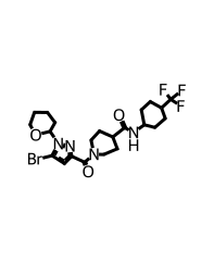 O=C(NC1CCC(C(F)(F)F)CC1)C1CCN(C(=O)c2cc(Br)n(C3CCCCO3)n2)CC1